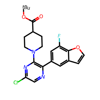 CC(C)(C)OC(=O)C1CCN(c2nc(Cl)cnc2-c2cc(F)c3occc3c2)CC1